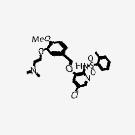 COc1ccc(COc2cc(Cl)cnc2NS(=O)(=O)c2ccccc2C)cc1OCCN(C)C